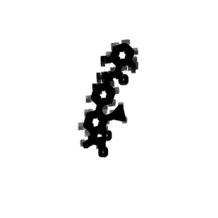 Cn1c(=O)oc2c(C3CC3)c(-c3ccc(NC(=O)c4c(F)cccc4F)nc3)ccc21